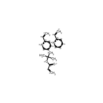 C=CC(=O)OC(C)(C)C.C=Cc1ccccn1.C=Cc1ccccn1